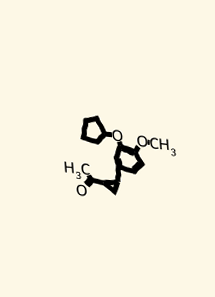 COc1ccc(C2CC2C(C)=O)cc1OC1CCCC1